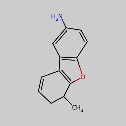 CC1CC=Cc2c1oc1ccc(N)cc21